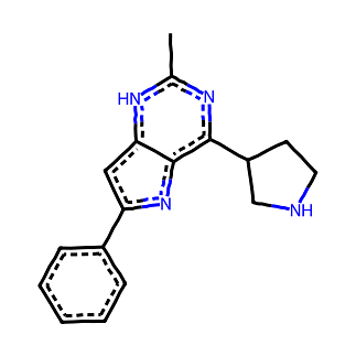 Cc1nc(C2CCNC2)c2nc(-c3ccccc3)cc-2[nH]1